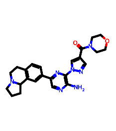 Nc1ncc(-c2ccc3c(c2)C2CCCN2CC3)nc1-n1cc(C(=O)N2CCOCC2)cn1